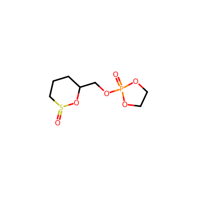 O=S1CCCC(COP2(=O)OCCO2)O1